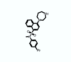 CC(C)c1ccc(N(C)S(=O)(=O)c2ccc(N3CCCNCC3)c3ccccc23)cc1